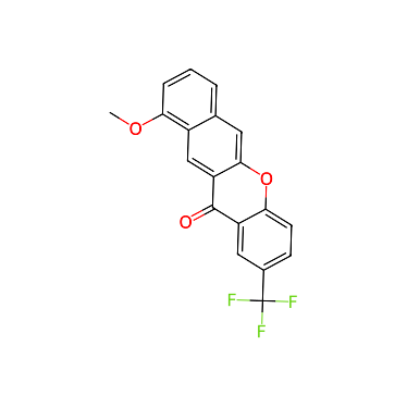 COc1cccc2cc3oc4ccc(C(F)(F)F)cc4c(=O)c3cc12